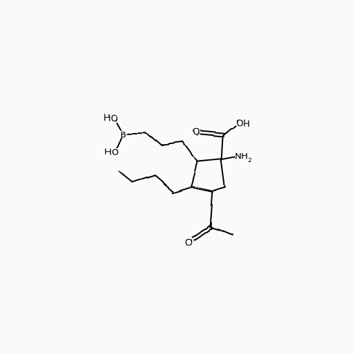 CCCCC1C(C(C)=O)CC(N)(C(=O)O)C1CCCB(O)O